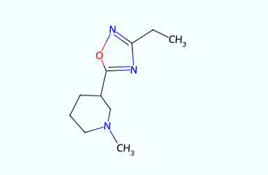 CCc1noc(C2CCCN(C)C2)n1